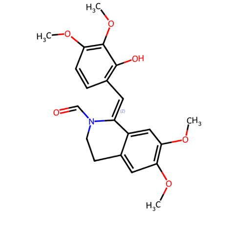 COc1cc2c(cc1OC)/C(=C/c1ccc(OC)c(OC)c1O)N(C=O)CC2